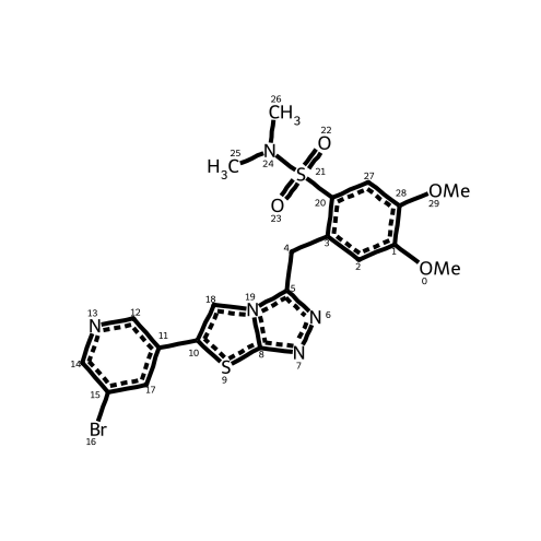 COc1cc(Cc2nnc3sc(-c4cncc(Br)c4)cn23)c(S(=O)(=O)N(C)C)cc1OC